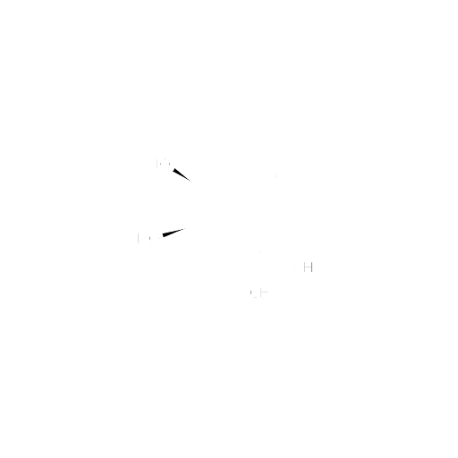 CC1(C)C=CC[C@H](O)[C@H](O)C1